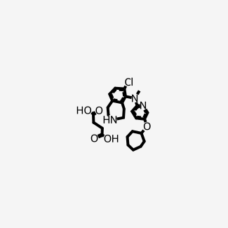 CN(c1ccc(OC2CCCCCC2)cn1)c1c(Cl)ccc2c1CCNCC2.O=C(O)CCC(=O)O